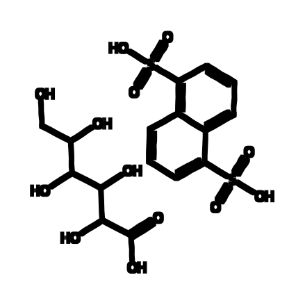 O=C(O)C(O)C(O)C(O)C(O)CO.O=S(=O)(O)c1cccc2c(S(=O)(=O)O)cccc12